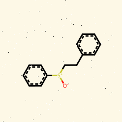 [O-][S+](CCc1ccccc1)c1cc[c]cc1